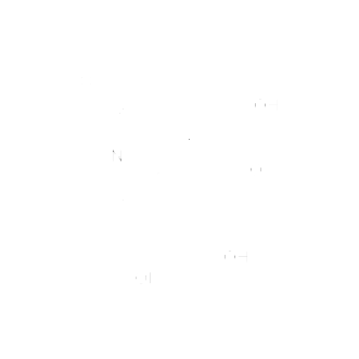 O=C1CC2(CO)C(O)C(O)C(O)C3C2N13